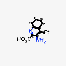 CCc1c(N)c(C(=O)O)nc2c1CCCC2